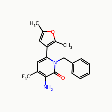 Cc1cc(-c2cc(C(F)(F)F)c(N)c(=O)n2Cc2ccccc2)c(C)o1